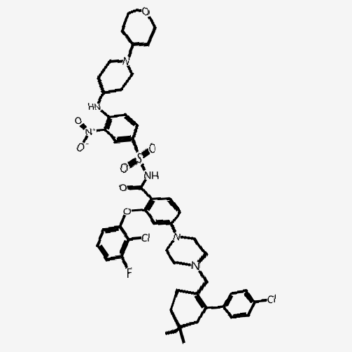 CC1(C)CCC(CN2CCN(c3ccc(C(=O)NS(=O)(=O)c4ccc(NC5CCN(C6CCOCC6)CC5)c([N+](=O)[O-])c4)c(Oc4cccc(F)c4Cl)c3)CC2)=C(c2ccc(Cl)cc2)C1